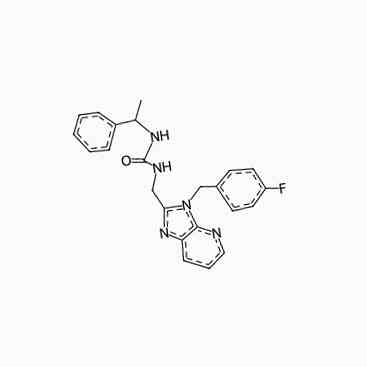 CC(NC(=O)NCc1nc2cccnc2n1Cc1ccc(F)cc1)c1ccccc1